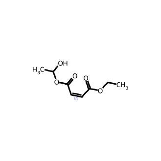 CCOC(=O)/C=C\C(=O)OC(C)O